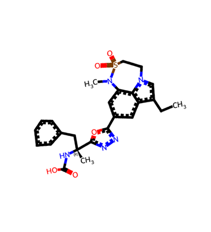 CCc1cn2c3c(cc(-c4nnc([C@@](C)(Cc5ccccc5)NC(=O)O)o4)cc13)N(C)S(=O)(=O)CC2